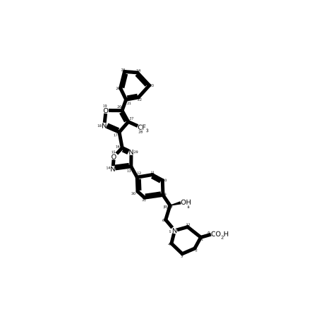 O=C(O)C1CCCN(C[C@H](O)c2ccc(-c3noc(-c4noc(-c5ccccc5)c4C(F)(F)F)n3)cc2)C1